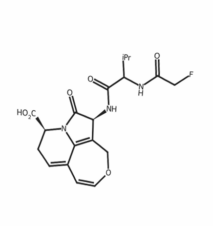 CC(C)C(NC(=O)CF)C(=O)N[C@@H]1C(=O)N2C3=C1COC=CC3=CC[C@H]2C(=O)O